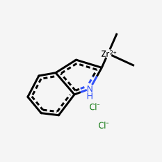 [CH3][Zr+2]([CH3])[c]1cc2ccccc2[nH]1.[Cl-].[Cl-]